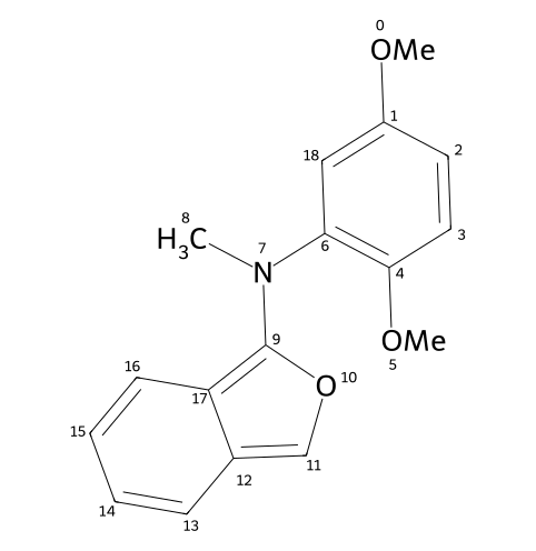 COc1ccc(OC)c(N(C)c2occ3ccccc23)c1